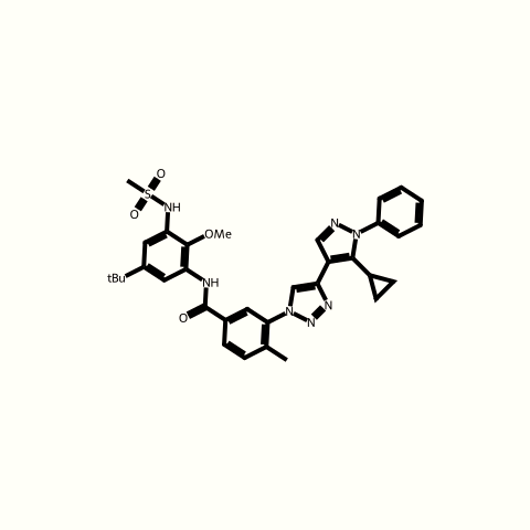 COc1c(NC(=O)c2ccc(C)c(-n3cc(-c4cnn(-c5ccccc5)c4C4CC4)nn3)c2)cc(C(C)(C)C)cc1NS(C)(=O)=O